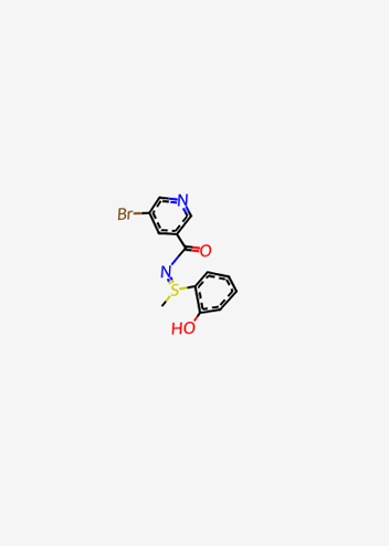 CS(=NC(=O)c1cncc(Br)c1)c1ccccc1O